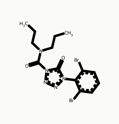 CCCN(CCC)C(=O)n1nnn(-c2c(Br)cccc2Br)c1=O